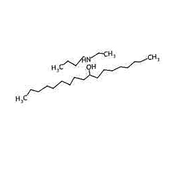 CCCCCCCCCC(O)CCCCCCCC.CCCCNCC